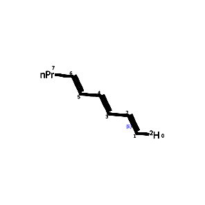 [2H]/C=C/C=CC=CCCC